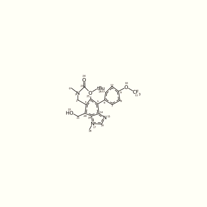 CN(Cc1cc(-c2ccc(OC(F)(F)F)cc2)c2ncn(C)c2c1CO)C(=O)OC(C)(C)C